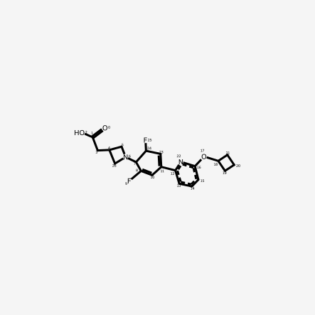 O=C(O)CC1CN(C2C(F)=CC(c3cccc(OC4CCC4)n3)=CC2F)C1